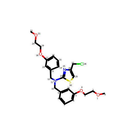 COCCOc1cccc(CN(Cc2cccc(OCCOC)c2)c2nc(CCl)cs2)c1